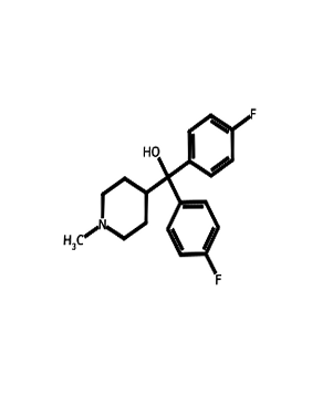 CN1CCC(C(O)(c2ccc(F)cc2)c2ccc(F)cc2)CC1